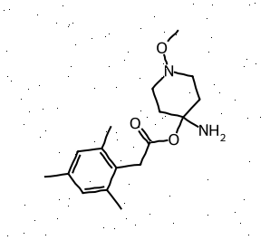 CON1CCC(N)(OC(=O)Cc2c(C)cc(C)cc2C)CC1